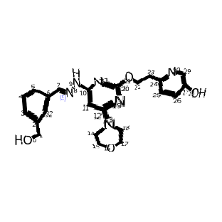 OCc1cccc(/C=N/Nc2cc(N3CCOCC3)nc(OCCc3ccc(O)cn3)n2)c1